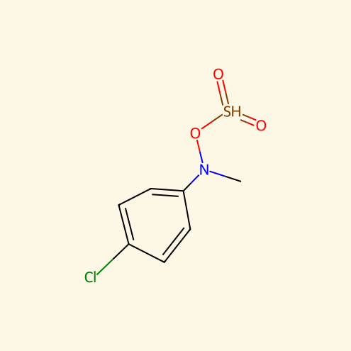 CN(O[SH](=O)=O)c1ccc(Cl)cc1